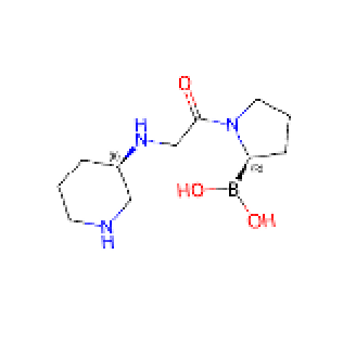 O=C(CN[C@@H]1CCCNC1)N1CCC[C@H]1B(O)O